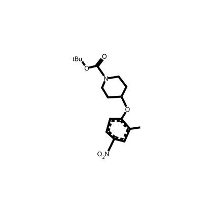 Cc1cc([N+](=O)[O-])ccc1OC1CCN(C(=O)OC(C)(C)C)CC1